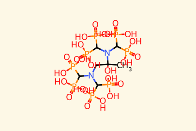 CC(O)(CN(C(P(=O)(O)O)P(=O)(O)O)C(P(=O)(O)O)P(=O)(O)O)N(C(P(=O)(O)O)P(=O)(O)O)C(P(=O)(O)O)P(=O)(O)O